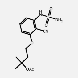 CC(=O)OC(C)(C)CCOc1cccc(NS(N)(=O)=O)c1C#N